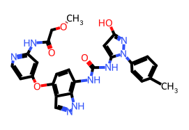 COCC(=O)Nc1cc(Oc2ccc(NC(=O)Nc3cc(O)nn3-c3ccc(C)cc3)c3[nH]ncc23)ccn1